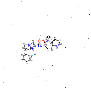 CN1C(=O)[C@@H](NC(=O)c2nc3n(n2)CC[C@H]3c2ccccc2F)CCc2ncccc21